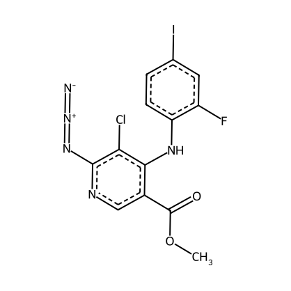 COC(=O)c1cnc(N=[N+]=[N-])c(Cl)c1Nc1ccc(I)cc1F